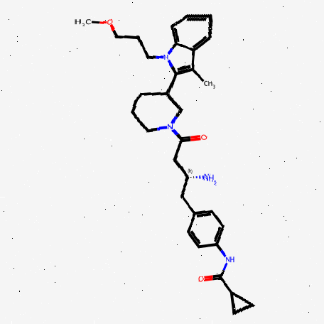 COCCCn1c(C2CCCN(C(=O)C[C@H](N)Cc3ccc(NC(=O)C4CC4)cc3)C2)c(C)c2ccccc21